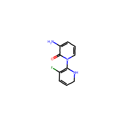 Nc1cccn(C2=C(F)C=CCN2)c1=O